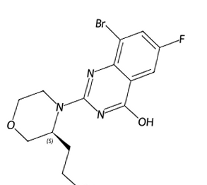 OCC[C@H]1COCCN1c1nc(O)c2cc(F)cc(Br)c2n1